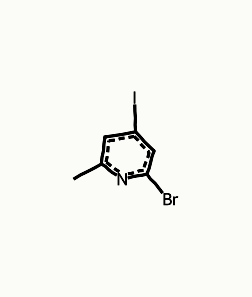 Cc1cc(I)cc(Br)n1